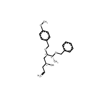 C=CC[C@H](O)C[C@@H](OCc1ccc(OC)cc1)[C@@H](C)OCc1ccccc1